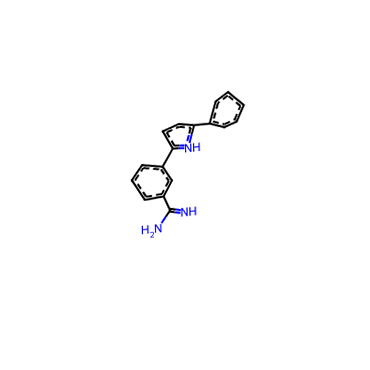 N=C(N)c1cccc(-c2ccc(-c3ccccc3)[nH]2)c1